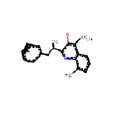 CC(Cc1ccccc1)c1nc2c(C(F)(F)F)cccc2c(C(=O)O)c1O